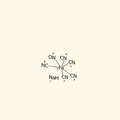 N#[C][Fe]([C]#N)([C]#N)([C]#N)([C]#N)[N]=O.[NaH]